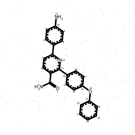 NC(=O)c1ccc(-c2ccc(N)cc2)nc1-c1ccc(Oc2ccccc2)cc1